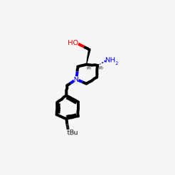 CC(C)(C)c1ccc(CN2CC[C@@H](N)[C@H](CO)C2)cc1